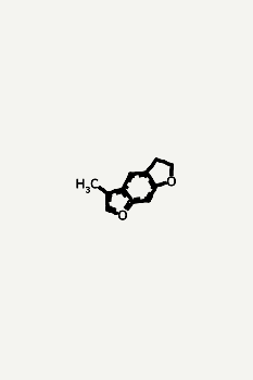 Cc1coc2cc3c(cc12)CCO3